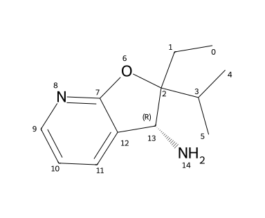 CCC1(C(C)C)Oc2ncccc2[C@H]1N